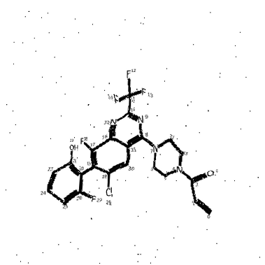 C=CC(=O)N1CCN(c2nc(C(F)(F)F)nc3c(F)c(-c4c(O)cccc4F)c(Cl)cc23)CC1